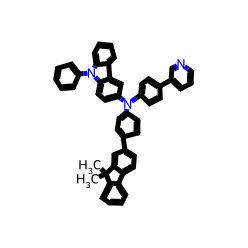 CC1(C)c2ccccc2-c2ccc(-c3ccc(N(c4ccc(-c5cccnc5)cc4)c4ccc5c(c4)c4ccccc4n5-c4ccccc4)cc3)cc21